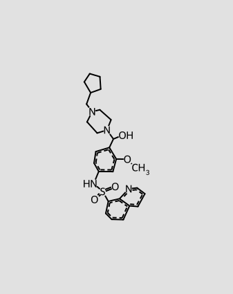 COc1cc(NS(=O)(=O)c2cccc3cccnc23)ccc1C(O)N1CCN(CC2CCCC2)CC1